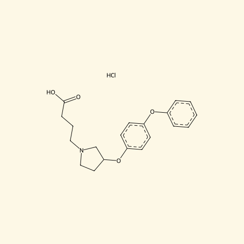 Cl.O=C(O)CCCN1CCC(Oc2ccc(Oc3ccccc3)cc2)C1